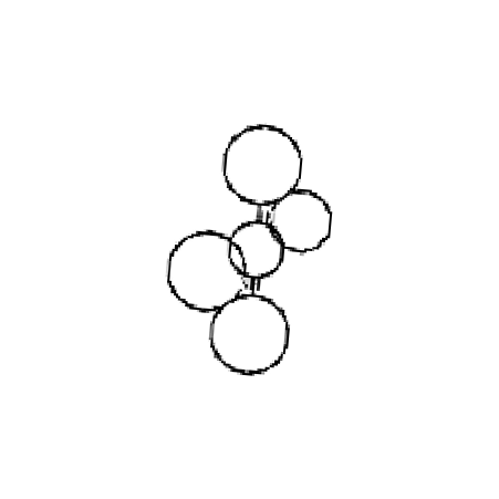 C1CCCCCNC2C(CCCCC1)CCCCCCCCCCCC2C1CCCCC(C2CCCCCCCCCCCC3CCCCCCCCNC32)CCCC1